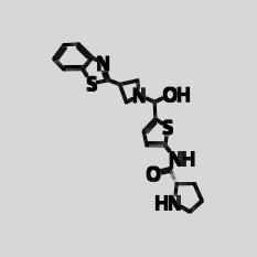 O=C(Nc1ccc(C(O)N2CC(c3nc4ccccc4s3)C2)s1)[C@@H]1CCCN1